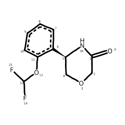 O=C1COC[C@@H](c2ccccc2OC(F)F)N1